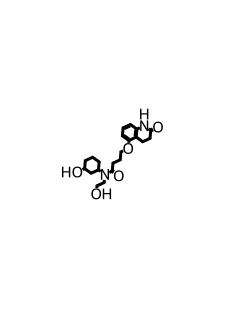 O=C1CCc2c(cccc2OCCCC(=O)N(CCO)C2CCCC(O)C2)N1